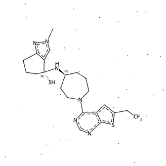 Cn1cc2c(n1)CCC[C@]2(S)N[C@H]1CCCN(c2ncnc3sc(CC(F)(F)F)cc23)CC1